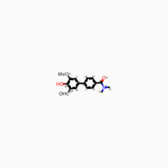 COc1cc(-c2ccc(C(=O)N(C)C)cc2)cc(C=O)c1O